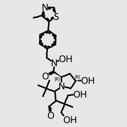 Cc1ncsc1-c1ccc(CN(O)C(=O)[C@H]2C[C@@H](O)CN2C(C(C=O)C(C)(CO)CO)C(C)(C)C)cc1